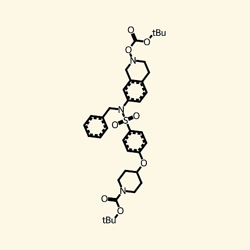 CC(C)(C)OC(=O)ON1CCc2ccc(N(Cc3ccccc3)S(=O)(=O)c3ccc(OC4CCN(C(=O)OC(C)(C)C)CC4)cc3)cc2C1